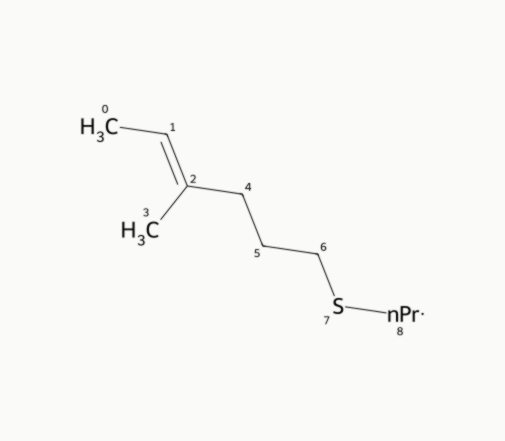 C/C=C(\C)CCCS[CH]CC